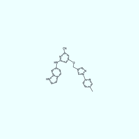 Cc1ccc(-n2cc(COc3cc(C#N)nc(Nc4ccc5cc[nH]c5c4)c3)cn2)nc1